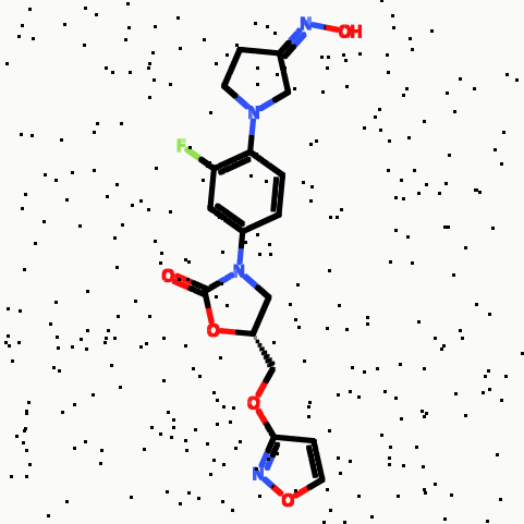 O=C1O[C@@H](COc2ccon2)CN1c1ccc(N2CCC(=NO)C2)c(F)c1